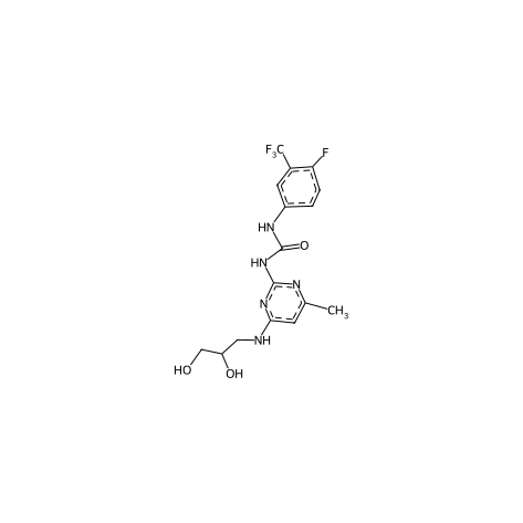 Cc1cc(NCC(O)CO)nc(NC(=O)Nc2ccc(F)c(C(F)(F)F)c2)n1